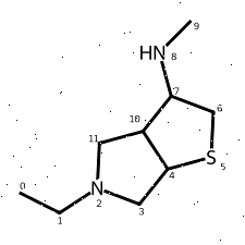 CCN1CC2SCC(NC)C2C1